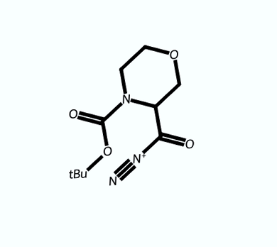 CC(C)(C)OC(=O)N1CCOCC1C(=O)[N+]#N